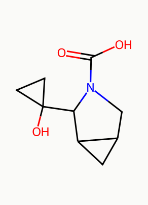 O=C(O)N1CC2CC2C1C1(O)CC1